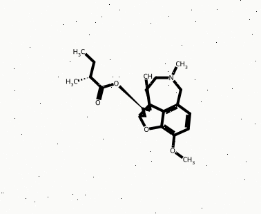 CC[C@@H](C)C(=O)O[C@@H]1CC2Oc3c(OC)ccc4c3[C@]2(CCN(C)C4)C1C